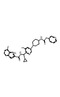 Cc1cc(C2CCC(NC(=O)Cc3cccnc3)CC2)cnc1C(NC(=O)c1cc2cccc(C)c2[nH]1)C1CC1